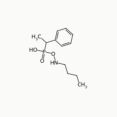 CCCCNOP(=O)(O)C(C)c1ccccc1